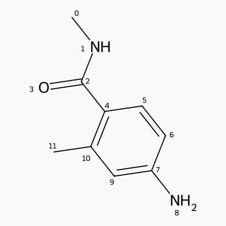 CNC(=O)c1ccc(N)cc1C